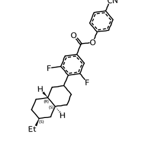 CC[C@H]1CC[C@@H]2CC(c3c(F)cc(C(=O)Oc4ccc(C#N)cc4)cc3F)CC[C@H]2C1